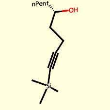 CCCCC[C@H](O)CCC#C[Si](C)(C)C